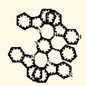 c1ccc(-c2c(-n3c4ccccc4c4cnccc43)c(-n3c4ccccc4c4ccccc43)nc(-n3c4ccccc4c4ccccc43)c2-n2c3ccccc3c3cnccc32)cc1